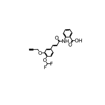 C#CCOc1cc(/C=C/C(=O)Nc2ccccc2C(=O)O)ccc1OC(F)F